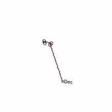 CCCCCCCCCCCCCCCCCCCCCCCCCCCCCCCCCCCCCCOC(=O)CCCC1OCCO1